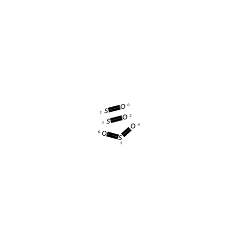 O=S.O=S.O=S=O